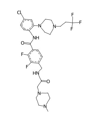 CN1CCN(CC(=O)NCc2ccc(C(=O)Nc3ccc(Cl)cc3N3CCN(CCC(F)(F)F)CC3)c(F)c2F)CC1